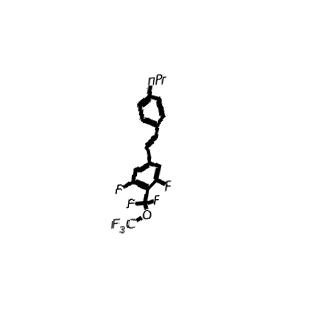 CCCc1ccc(/C=C/c2cc(F)c(C(F)(F)OC(F)(F)F)c(F)c2)cc1